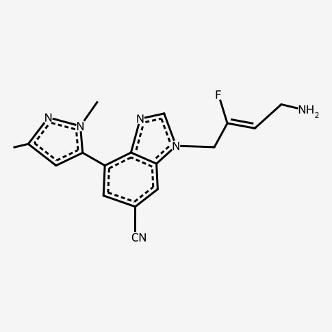 Cc1cc(-c2cc(C#N)cc3c2ncn3CC(F)=CCN)n(C)n1